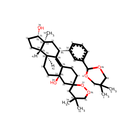 CC1(C)COC(c2cccc([C@H]3C[C@]4(C)[C@@H](O)CC[C@H]4[C@@H]4CC[C@@]5(O)CC6(CCC5=C43)CC(C)(C)COO6)c2)OC1